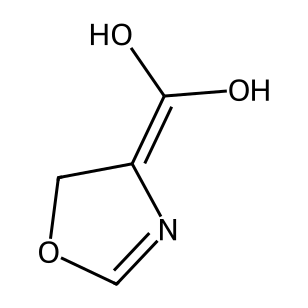 OC(O)=C1COC=N1